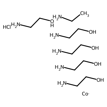 CCN.Cl.NCCO.NCCO.NCCO.NCCO.NCCO.[Co]